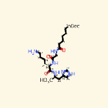 CCCCCCCCCCCCCCCC(=O)NCC(=O)N[C@@H](CCCCN)C(=O)N[C@@H](Cc1c[nH]cn1)C(=O)O